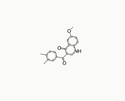 COc1ccc2[nH]cc(C(=O)c3ccc(C)c(C)c3)c(=O)c2c1